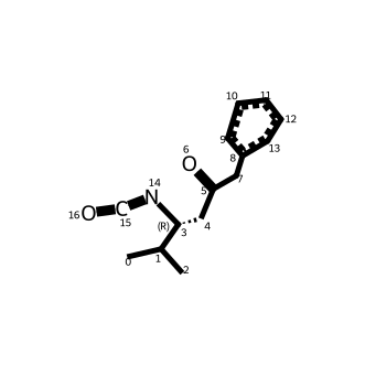 CC(C)[C@@H](CC(=O)Cc1ccccc1)N=C=O